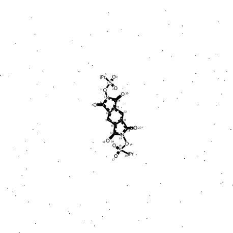 CC(C)S(=O)(=O)On1c(=O)c2cc3c(=O)n(OS(=O)(=O)C(C)C)c(=O)c3cc2c1=O